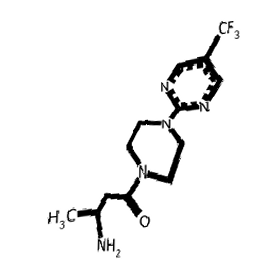 CC(N)CC(=O)N1CCN(c2ncc(C(F)(F)F)cn2)CC1